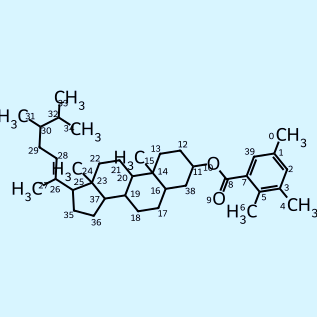 Cc1cc(C)c(C)c(C(=O)OC2CCC3(C)C(CCC4C3CCC3(C)C(C(C)CCC(C)C(C)C)CCC43)C2)c1